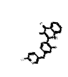 Cc1c(-c2ccc(Cc3ccc(C(F)(F)F)nc3)cc2F)[nH]c2ccccc2c1=O